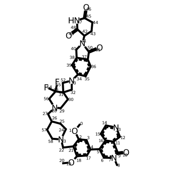 COc1cc(-c2cn(C)c(=O)c3cnccc23)cc(OC)c1CN1CCC(CN2CCC3(CN(c4ccc5c(c4)CN(C4CCC(=O)NC4=O)C5=O)C3)C(F)(F)C2)CC1